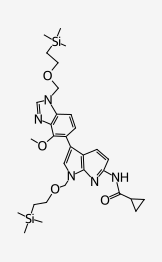 COc1c(-c2cn(COCC[Si](C)(C)C)c3nc(NC(=O)C4CC4)ccc23)ccc2c1ncn2COCC[Si](C)(C)C